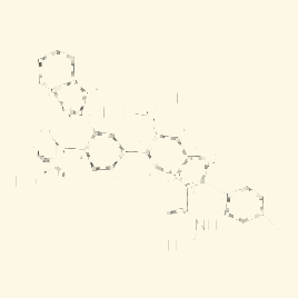 CNC(=O)c1c(-c2ccc(F)cc2)oc2cc(N(C)C)c(-c3ccc4c(c3)-c3cc5ccccc5n3CN4S(C)(=O)=O)cc12